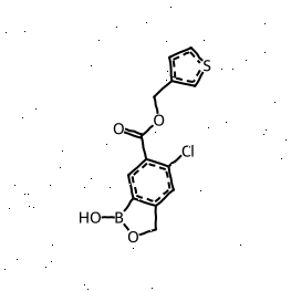 O=C(OCc1ccsc1)c1cc2c(cc1Cl)COB2O